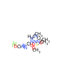 COCOc1cc(-c2ncn(-c3ccc(OC(F)(F)F)cc3)n2)ccc1NC(=O)/N=C1\SCC(=O)N1c1cc(N(C)C)ccc1C(C)C